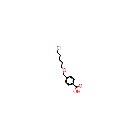 O=C(O)c1ccc(COCCCCCCl)cc1